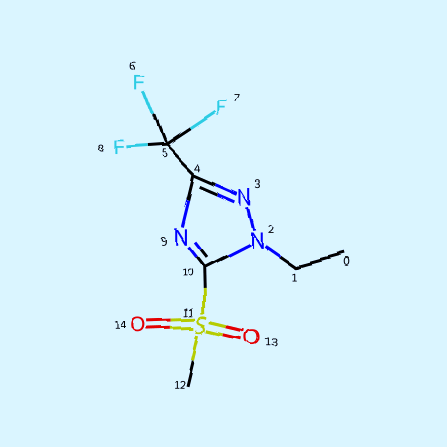 CCn1nc(C(F)(F)F)nc1S(C)(=O)=O